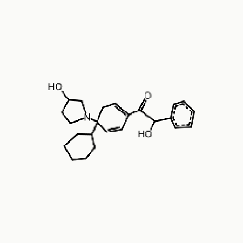 O=C(C1=CCC(C2CCCCC2)(N2CCC(O)C2)C=C1)C(O)c1ccccc1